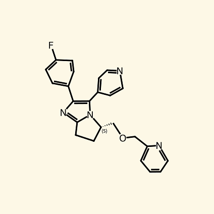 Fc1ccc(-c2nc3n(c2-c2ccncc2)[C@H](COCc2ccccn2)CC3)cc1